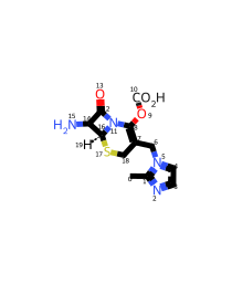 Cc1nccn1CC1=C(OC(=O)O)N2C(=O)C(N)[C@@H]2SC1